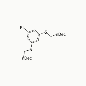 CCCCCCCCCCCSc1cc(CC)cc(SCCCCCCCCCCC)c1